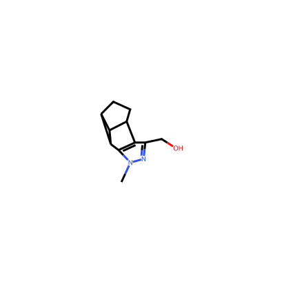 Cn1nc(CO)c2c1C1C3CCC2C31